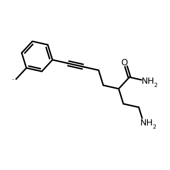 [CH2]c1cccc(C#CCCC(CCN)C(N)=O)c1